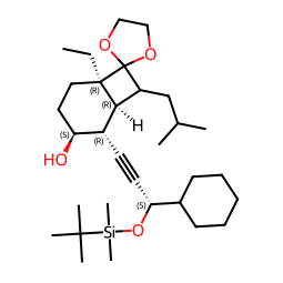 CC[C@@]12CC[C@H](O)[C@@H](C#C[C@@H](O[Si](C)(C)C(C)(C)C)C3CCCCC3)[C@@H]1C(CC(C)C)C21OCCO1